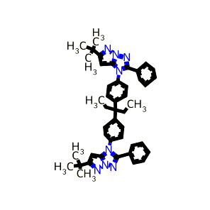 CCC(CC)(c1ccc(-n2c(-c3ccccc3)nn3nc(C(C)(C)C)cc23)cc1)c1ccc(-n2c(-c3ccccc3)nn3nc(C(C)(C)C)cc23)cc1